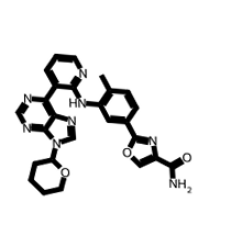 Cc1ccc(-c2nc(C(N)=O)co2)cc1Nc1ncccc1-c1ncnc2c1ncn2C1CCCCO1